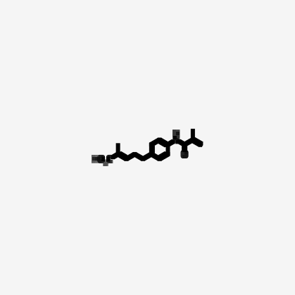 C=C(C)C(=O)Nc1ccc(CCC=C(C)C(=O)O)cc1